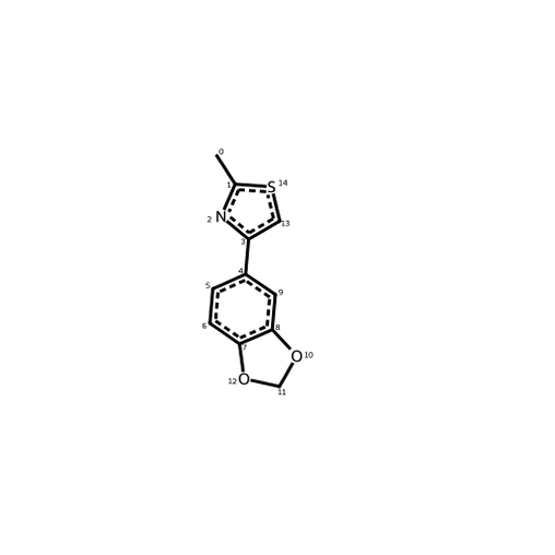 Cc1nc(-c2ccc3c(c2)OCO3)cs1